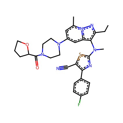 CCc1nn2c(C)cc(N3CCN(C(=O)C4CCCO4)CC3)cc2c1N(C)c1nc(-c2ccc(F)cc2)c(C#N)s1